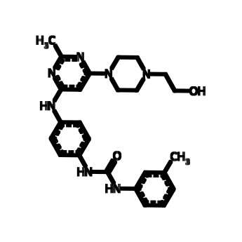 Cc1cccc(NC(=O)Nc2ccc(Nc3cc(N4CCN(CCO)CC4)nc(C)n3)cc2)c1